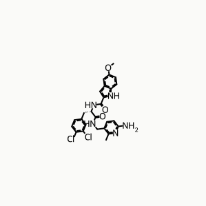 COc1ccc2[nH]c(C(=O)N[C@@H](Cc3ccc(Cl)c(Cl)c3)C(=O)NCc3ccc(N)nc3C)cc2c1